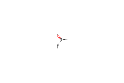 C[C](=O)[K]